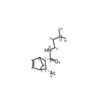 CC(=O)[C@@H]1C2C=CC(C2)[C@@H]1C(=O)NCCN(C)C